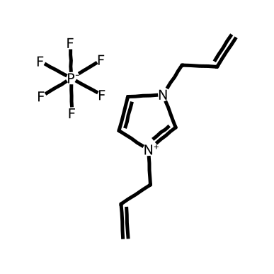 C=CCn1cc[n+](CC=C)c1.F[P-](F)(F)(F)(F)F